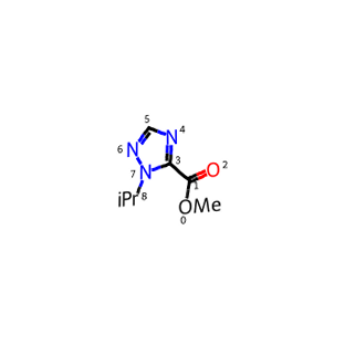 COC(=O)c1ncnn1C(C)C